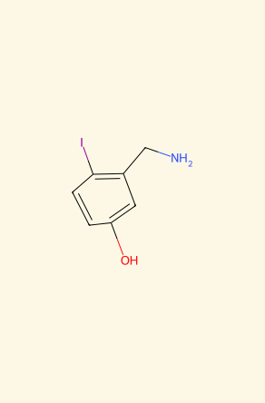 NCc1cc(O)ccc1I